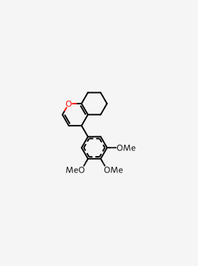 COc1cc(C2C=COC3=C2CCCC3)cc(OC)c1OC